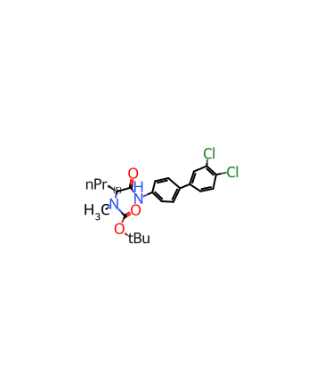 CCC[C@@H](C(=O)Nc1ccc(-c2ccc(Cl)c(Cl)c2)cc1)N(C)C(=O)OC(C)(C)C